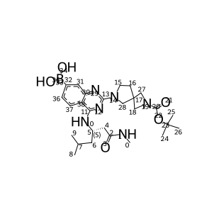 CNC(=O)C[C@H](CC(C)C)Nc1nc(N2CCC3(CN(C(=O)OC(C)(C)C)C3)C2)nc2cc(B(O)O)ccc12